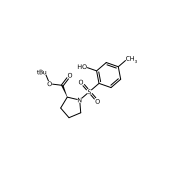 Cc1ccc(S(=O)(=O)N2CCC[C@H]2C(=O)OC(C)(C)C)c(O)c1